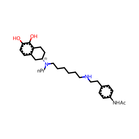 CCCN(CCCCCCNCCc1ccc(NC(C)=O)cc1)[C@H]1CCc2c(ccc(O)c2O)C1